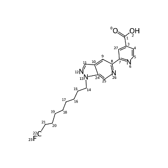 O=C(O)c1ccnc(-c2cc3cnn(CCCCCCCCCF)c3cn2)c1